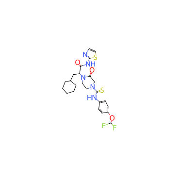 O=C(Nc1nccs1)[C@H](CC1CCCCC1)N1CCN(C(=S)Nc2ccc(OC(F)F)cc2)CC1=O